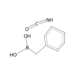 N=C=O.OB(O)Cc1ccccc1